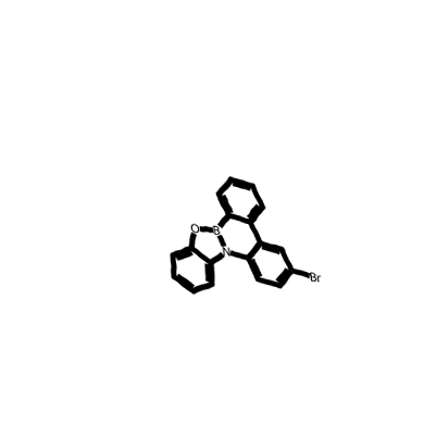 Brc1ccc2c(c1)-c1ccccc1B1Oc3ccccc3N12